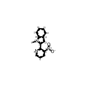 Cn1c(-c2ncccc2[N+](=O)[O-])cc2ccccc21